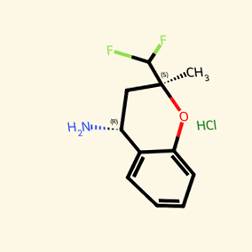 C[C@@]1(C(F)F)C[C@@H](N)c2ccccc2O1.Cl